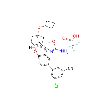 N#Cc1cc(Cl)cc(-c2ccc3c(c2)[C@@]2(COC(N)=N2)[C@H]2C[C@@H](OC4CCC4)CC[C@@H]2O3)c1.O=C(O)C(F)(F)F